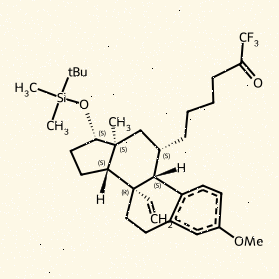 C=C[C@@]12CCc3cc(OC)ccc3[C@H]1[C@@H](CCCCC(=O)C(F)(F)F)C[C@]1(C)[C@@H](O[Si](C)(C)C(C)(C)C)CC[C@H]12